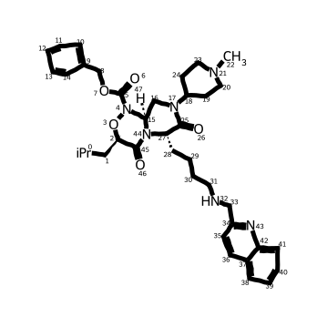 CC(C)C[C@H]1ON(C(=O)OCc2ccccc2)[C@H]2CN(C3CCN(C)CC3)C(=O)[C@H](CCCCNCc3ccc4ccccc4n3)N2C1=O